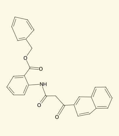 O=C(CC(=O)c1ccc2ccccc2c1)Nc1ccccc1C(=O)OCc1ccccc1